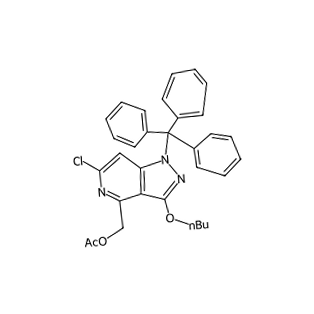 CCCCOc1nn(C(c2ccccc2)(c2ccccc2)c2ccccc2)c2cc(Cl)nc(COC(C)=O)c12